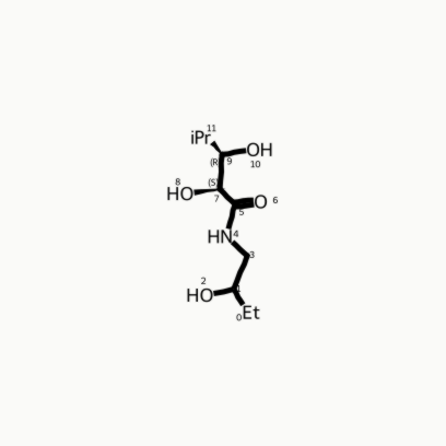 CCC(O)CNC(=O)[C@@H](O)[C@H](O)C(C)C